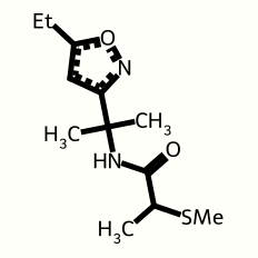 CCc1cc(C(C)(C)NC(=O)C(C)SC)no1